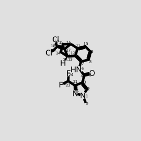 Cn1cc(C(=O)Nc2cccc3c2[C@@H]2CCC3C2=C(Cl)Cl)c(C(F)F)n1